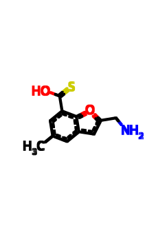 Cc1cc(C(O)=S)c2oc(CN)cc2c1